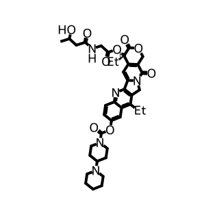 CCc1c2c(nc3ccc(OC(=O)N4CCC(N5CCCCC5)CC4)cc13)-c1cc3c(c(=O)n1C2)COC(=O)[C@@]3(CC)OC(=O)CNC(=O)CC(C)O